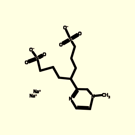 CN1C=CN=C(C(CCCS(=O)(=O)[O-])CCCS(=O)(=O)[O-])C1.[Na+].[Na+]